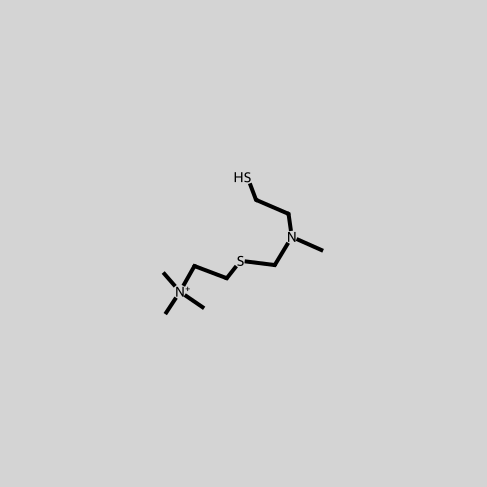 CN(CCS)CSCC[N+](C)(C)C